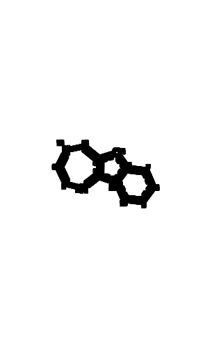 C1=CN=c2c(oc3ccccc23)=CN=1